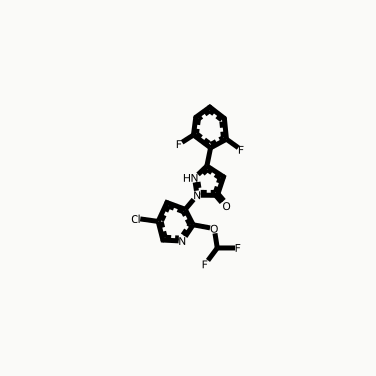 O=c1cc(-c2c(F)cccc2F)[nH]n1-c1cc(Cl)cnc1OC(F)F